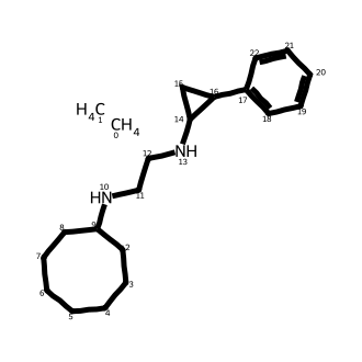 C.C.[CH]1CCCCCCC1NCCNC1CC1c1ccccc1